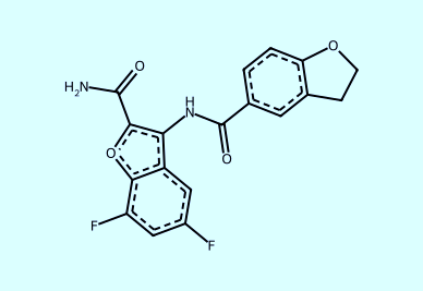 NC(=O)c1oc2c(F)cc(F)cc2c1NC(=O)c1ccc2c(c1)CCO2